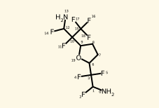 NC(F)C(F)(F)C1CCC(C(F)(C(N)F)C(F)(F)F)O1